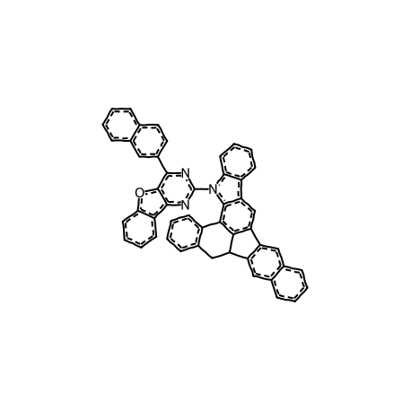 c1ccc2c(c1)CC1c3cc4ccccc4cc3-c3cc4c5ccccc5n(-c5nc(-c6ccc7ccccc7c6)c6oc7ccccc7c6n5)c4c-2c31